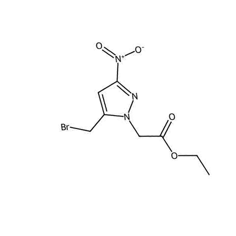 CCOC(=O)Cn1nc([N+](=O)[O-])cc1CBr